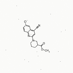 COC(=O)C1CCCN(c2cc(C#N)c3cc(Cl)ccc3n2)C1